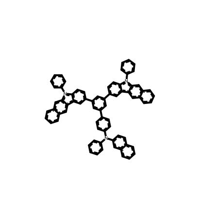 c1ccc(N(c2ccc(-c3cc(-c4ccc5c(c4)c4cc6ccccc6cc4n5-c4ccccc4)cc(-c4ccc5c(c4)c4cc6ccccc6cc4n5-c4ccccc4)c3)cc2)c2ccc3ccccc3c2)cc1